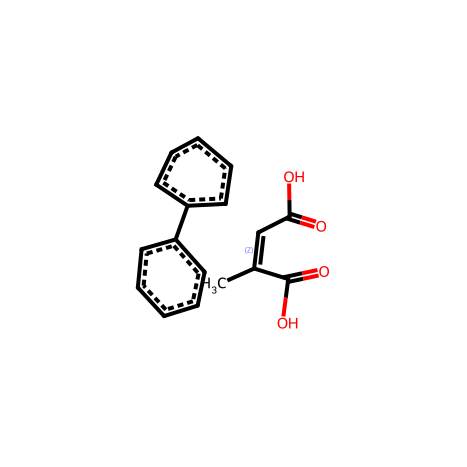 C/C(=C/C(=O)O)C(=O)O.c1ccc(-c2ccccc2)cc1